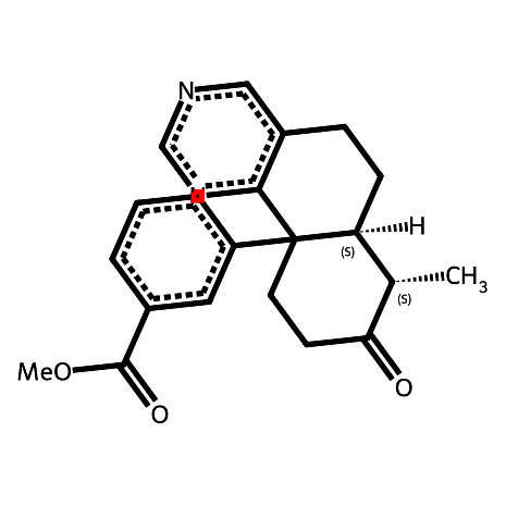 COC(=O)c1cccc(C23CCC(=O)[C@@H](C)[C@@H]2CCc2cncnc23)c1